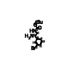 CC(C)(C)OC(=O)NC[C@@H](N)c1cccc(Br)c1